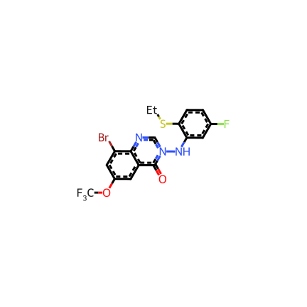 CCSc1ccc(F)cc1Nn1cnc2c(Br)cc(OC(F)(F)F)cc2c1=O